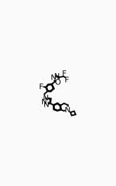 Fc1cc(-c2nnc(C(F)F)o2)ccc1Cn1cc(-c2ccc3c(c2)CCN(C2CCC2)C3)nn1